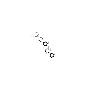 CNC(=C[N+](=O)[O-])N1CCN(c2ccc(CN3[C@@H](C)CCC(c4ccccc4)S3(=O)=O)c(F)c2)CC1